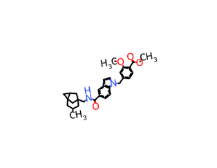 COC(=O)c1ccc(Cn2ccc3cc(C(=O)NCC45CC(C)CC6(CC6C4)C5)ccc32)cc1OC